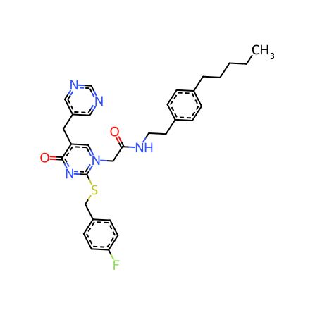 CCCCCc1ccc(CCNC(=O)Cn2cc(Cc3cncnc3)c(=O)nc2SCc2ccc(F)cc2)cc1